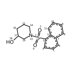 O=S(=O)(c1cccc2ccccc12)N1CCCC(O)C1